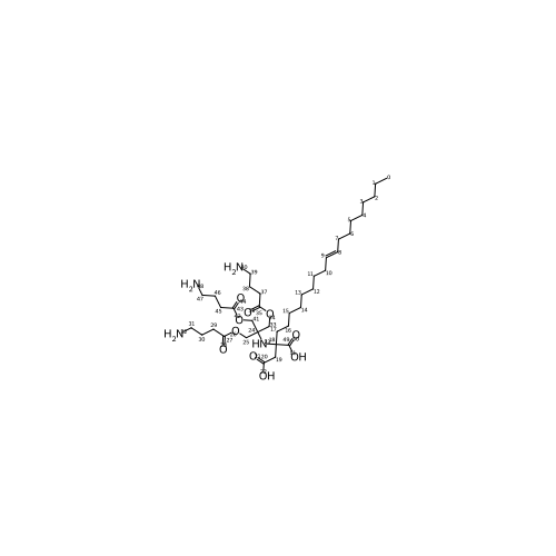 CCCCCCCCC=CCCCCCCCCC(CC(=O)O)(NC(COC(=O)CCCN)(COC(=O)CCCN)COC(=O)CCCN)C(=O)O